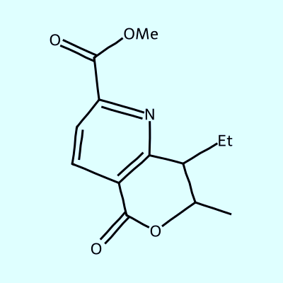 CCC1c2nc(C(=O)OC)ccc2C(=O)OC1C